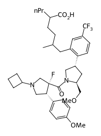 CCCC(CCC(C)Cc1cc(C(F)(F)F)ccc1[C@@H]1C[C@@H](COC)N(C(=O)[C@]2(F)CN(C3CCC3)C[C@H]2c2ccc(OC)cc2)C1)C(=O)O